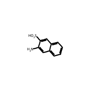 Nc1cc2ccccc2[c]c1S(=O)(=O)O